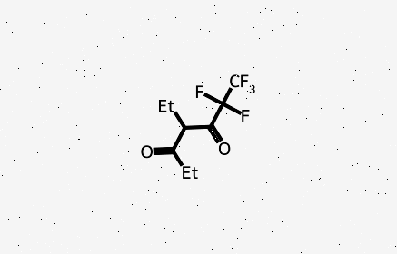 CCC(=O)C(CC)C(=O)C(F)(F)C(F)(F)F